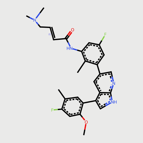 COc1cc(F)c(C)cc1-c1c[nH]c2ncc(-c3cc(F)cc(NC(=O)/C=C/CN(C)C)c3C)cc12